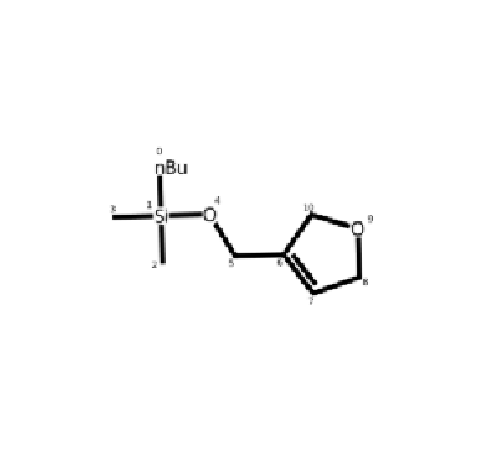 CCCC[Si](C)(C)OCC1=CCOC1